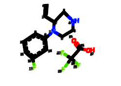 C=CC1CNCCN1c1cccc(F)c1.O=C(O)C(F)(F)F